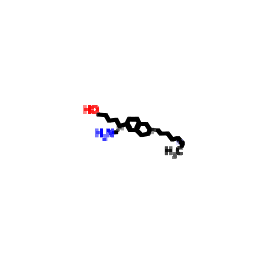 C/C=C\CCCC[C@H]1CCc2cc([C@H](CN)CCCCO)ccc2C1